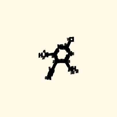 N#Cc1c(N)nc(Cl)nc1N